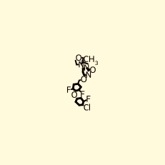 C[C@@]12COCCN1c1cc(OCc3cc(F)c(Oc4ccc(Cl)c(F)c4)c(F)c3)nc(=O)n1C2